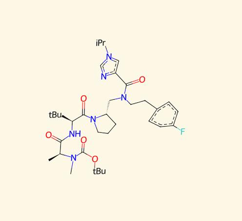 CC(C)n1cnc(C(=O)N(CCc2ccc(F)cc2)C[C@@H]2CCCN2C(=O)[C@@H](NC(=O)[C@H](C)N(C)C(=O)OC(C)(C)C)C(C)(C)C)c1